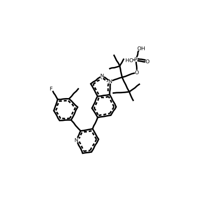 Cc1cc(-c2ncccc2-c2ccc3c(cnn3C(OP(=O)(O)O)(C(C)(C)C)C(C)(C)C)c2)ccc1F